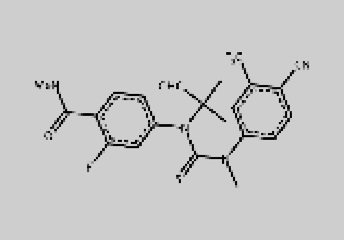 CNC(=O)c1ccc(N(C(=S)N(C)c2ccc(C#N)c(C(F)(F)F)c2)C(C)(C)C=O)cc1F